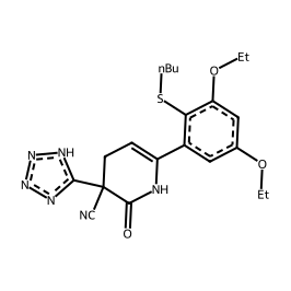 CCCCSc1c(OCC)cc(OCC)cc1C1=CCC(C#N)(c2nnn[nH]2)C(=O)N1